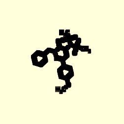 COc1ccc(-c2cc(N(S(C)(=O)=O)S(C)(=O)=O)c(=O)n(Cc3ccccc3)n2)cc1